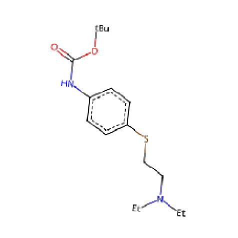 CCN(CC)CCSc1ccc(NC(=O)OC(C)(C)C)cc1